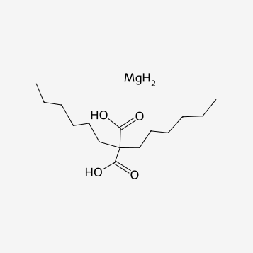 CCCCCCC(CCCCCC)(C(=O)O)C(=O)O.[MgH2]